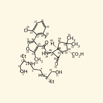 CC[C@@H](CO)NCCN[C@@H](CC)CO.Cc1onc(-c2c(F)cccc2Cl)c1C(=O)N[C@@H]1C(=O)N2[C@@H]1SC(C)(C)[C@@H]2C(=O)O